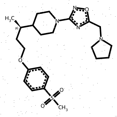 C[C@H](CCOc1ccc(S(C)(=O)=O)cc1)C1CCN(c2noc(CN3CCCC3)n2)CC1